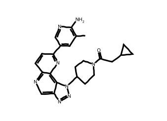 Cc1cc(-c2ccc3ncc4nnn(C5CCN(C(=O)CC6CC6)CC5)c4c3n2)cnc1N